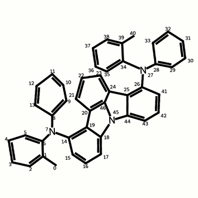 Cc1ccccc1N(c1ccccc1)c1cccc2c1c1cccc3c4c(N(c5ccccc5)c5ccccc5C)cccc4n2c13